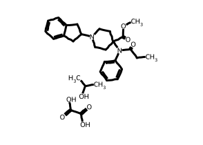 CC(C)O.CCC(=O)N(c1ccccc1)C1(C(=O)OC)CCN(C2Cc3ccccc3C2)CC1.O=C(O)C(=O)O